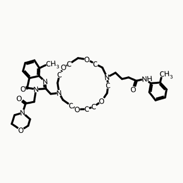 Cc1ccccc1NC(=O)CCCN1CCOCCOCCN(Cc2nc3c(C)cccc3c(=O)n2CC(=O)N2CCOCC2)CCOCCOCC1